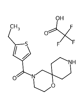 CCc1cc(C(=O)N2CCOC3(CCNCC3)C2)cs1.O=C(O)C(F)(F)F